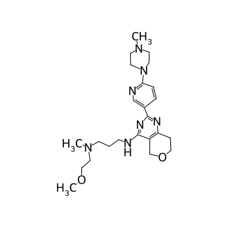 COCCN(C)CCCNc1nc(-c2ccc(N3CCN(C)CC3)nc2)nc2c1COCC2